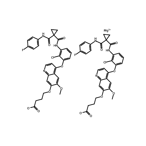 COc1cc2c(Oc3cccc(NC(=O)C4(C(=O)Nc5ccc(F)cc5)CC4)c3Cl)ccnc2cc1OCCCC(=O)[O-].COc1cc2c(Oc3cccc(NC(=O)C4(C(=O)Nc5ccc(F)cc5)CC4)c3Cl)ccnc2cc1OCCCC(=O)[O-].[Mg+2]